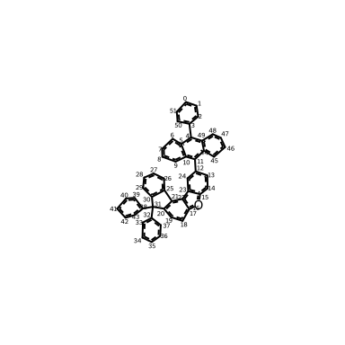 c1ccc(-c2c3ccccc3c(-c3ccc4oc5ccc6c(c5c4c3)-c3ccccc3C6(c3ccccc3)c3ccccc3)c3ccccc23)cc1